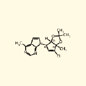 CCC1=C[C@@H](n2ccc3c(C)ncnc32)[C@@H]2OC(C)(C)O[C@]12C